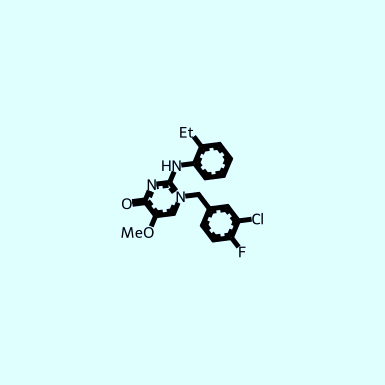 CCc1ccccc1Nc1nc(=O)c(OC)cn1Cc1ccc(F)c(Cl)c1